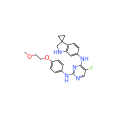 COCCOc1ccc(Nc2ncc(F)c(Nc3ccc4c(c3)NCC43CC3)n2)cc1